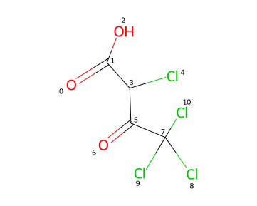 O=C(O)C(Cl)C(=O)C(Cl)(Cl)Cl